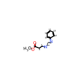 COC(=O)CCN=C=Nc1ccccc1